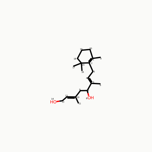 CC1=C(C/C=C(\C)C(O)C/C(C)=C/CO)C(C)(C)CCC1